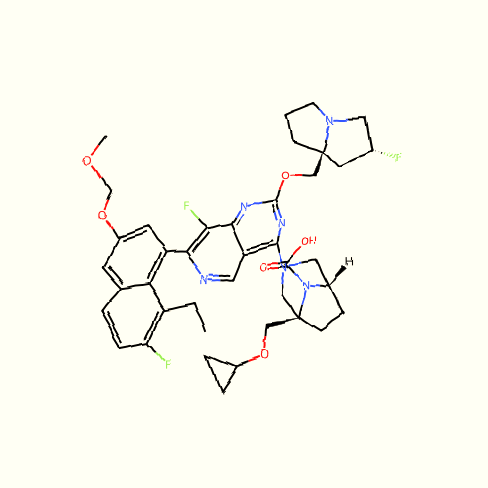 CCc1c(F)ccc2cc(OCOC)cc(-c3ncc4c(N5C[C@@H]6CC[C@](COC7CC7)(C5)N6C(=O)O)nc(OC[C@@]56CCCN5C[C@H](F)C6)nc4c3F)c12